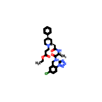 CCOC(=O)CCN1CC[C@H](c2ccccc2)C[C@@H]1CC(=O)N[C@@H](C)C(=O)NCc1cc(Cl)ccc1-n1cnnn1